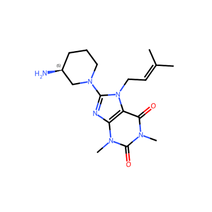 CC(C)=CCn1c(N2CCC[C@H](N)C2)nc2c1c(=O)n(C)c(=O)n2C